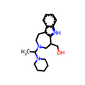 CC(N1CCCCC1)N1CCc2c([nH]c3ccccc23)C(CO)C1